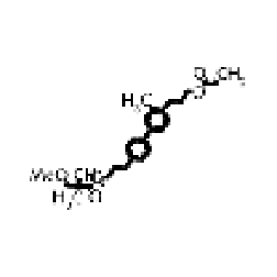 C=CC(=O)OCCCc1ccc(-c2ccc(CCCOC(=O)C(C)(C)COC)cc2)cc1C